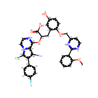 COc1ccccc1-c1nccc(COc2ccc(O)cc2CC(Oc2nccn3c(Cl)c(-c4ccc(F)cc4)c(I)c23)C(=O)O)n1